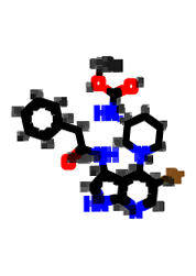 CC(C)(C)OC(=O)N[C@@H]1CCCN(c2c(Br)cnc3[nH]cc(NC(=O)Cc4ccccc4)c23)C1